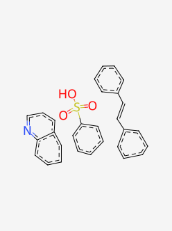 C(=Cc1ccccc1)c1ccccc1.O=S(=O)(O)c1ccccc1.c1ccc2ncccc2c1